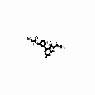 Cc1nc(-c2cccc(NC(=O)CBr)c2)c2c(N)c(C(N)=S)sc2n1